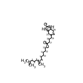 CN(C)CCCN(C)CCCCCCOC(=O)CCCC1CC2NC(=O)NC2CS1